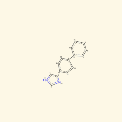 c1c[nH]cn1.c1ccc(-c2ccccc2)cc1